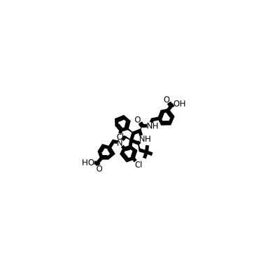 CC(C)(C)C[C@@H]1N[C@@H](C(=O)NCc2cccc(C(=O)O)c2)[C@H](c2ccccc2Cl)[C@]12CN(Cc1ccc(C(=O)O)cc1)c1ccc(Cl)cc12